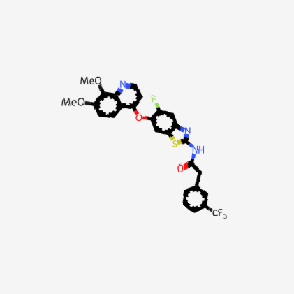 COc1ccc2c(Oc3cc4sc(NC(=O)Cc5cccc(C(F)(F)F)c5)nc4cc3F)ccnc2c1OC